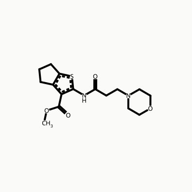 COC(=O)c1c(NC(=O)CCN2CCOCC2)sc2c1CCC2